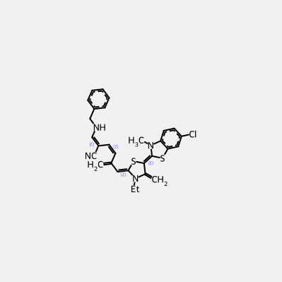 C=C(/C=C\C(C#N)=C/NCc1ccccc1)/C=C1\S/C(=C2/Sc3cc(Cl)ccc3N2C)C(=C)N1CC